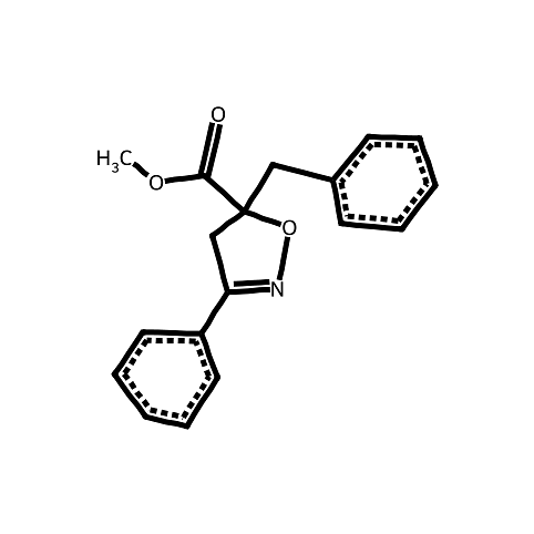 COC(=O)C1(Cc2ccccc2)CC(c2ccccc2)=NO1